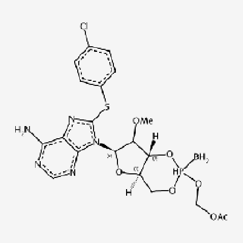 B[PH]1(OCOC(C)=O)OC[C@H]2O[C@@H](n3c(Sc4ccc(Cl)cc4)nc4c(N)ncnc43)C(OC)[C@@H]2O1